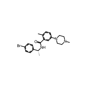 Cc1ccc(N2CCN(C)CC2)cc1C(=O)N[C@H](C)c1ccc(Br)cc1